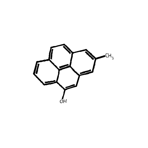 Cc1cc2ccc3cccc4c(O)cc(c1)c2c34